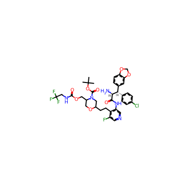 CC(C)(C)OC(=O)N1CC(CCc2c(F)cncc2NC(=O)[C@@H](N)[C@@H](c2ccc(Cl)cc2)c2ccc3c(c2)OCO3)OCC1COC(=O)NCC(F)(F)F